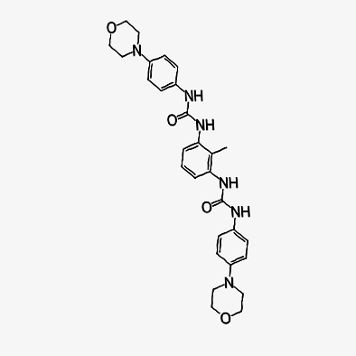 Cc1c(NC(=O)Nc2ccc(N3CCOCC3)cc2)cccc1NC(=O)Nc1ccc(N2CCOCC2)cc1